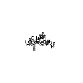 Cn1c(Nc2ccc(C(F)(F)F)cc2)nc2cc(Oc3cc(-c4ncc(C(C)(F)F)[nH]4)ncc3OC3CC(C(=O)O)C(O)C(O)C3O)ccc21